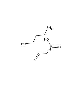 C=CC[PH](=O)O.OCCCP